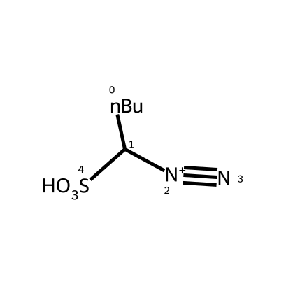 CCCCC([N+]#N)S(=O)(=O)O